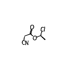 CC(Cl)OC(=O)CC#N